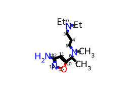 CCN(CC)CCCN(C)C(C)c1cc(N)no1